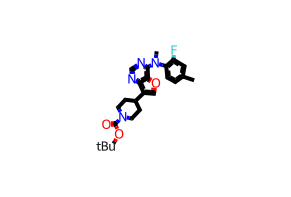 Cc1ccc(N(C)c2ncnc3c(C4CCN(C(=O)OC(C)(C)C)CC4)coc23)c(F)c1